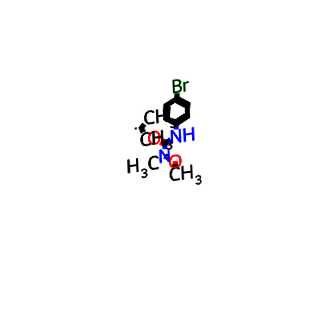 CON(C)C(=O)Nc1ccc(Br)cc1.C[CH]C